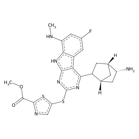 CNc1cc(F)cc2c1[nH]c1nc(Sc3cnc(C(=O)OC)s3)nc(C3C[C@H]4C[C@@H]3C[C@H]4N)c12